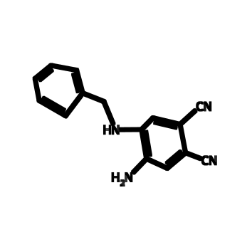 N#Cc1cc(N)c(NCc2ccccc2)cc1C#N